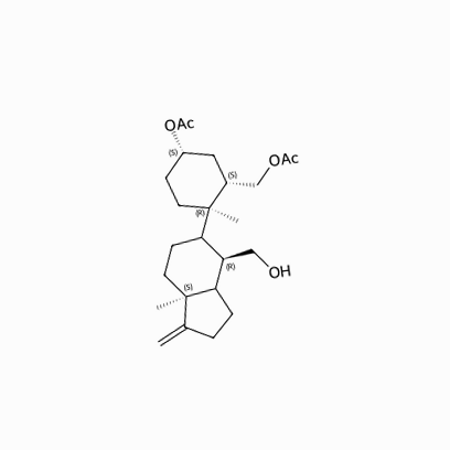 C=C1CCC2[C@H](CO)C([C@@]3(C)CC[C@H](OC(C)=O)C[C@@H]3COC(C)=O)CC[C@]12C